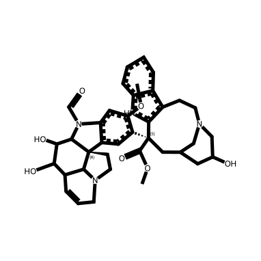 COC(=O)[C@]1(c2cc3c(cc2OC)N(C=O)C2C(O)C(O)C4C=CCN5CC[C@]32C45)CC2CC(O)CN(CCc3c1[nH]c1ccccc31)C2